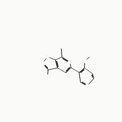 COc1ccncc1-c1cc2c(I)n[nH]c2c(C)n1